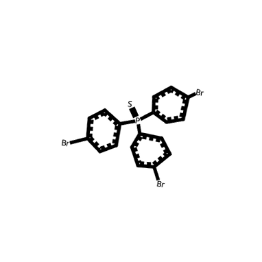 S=P(c1ccc(Br)cc1)(c1ccc(Br)cc1)c1ccc(Br)cc1